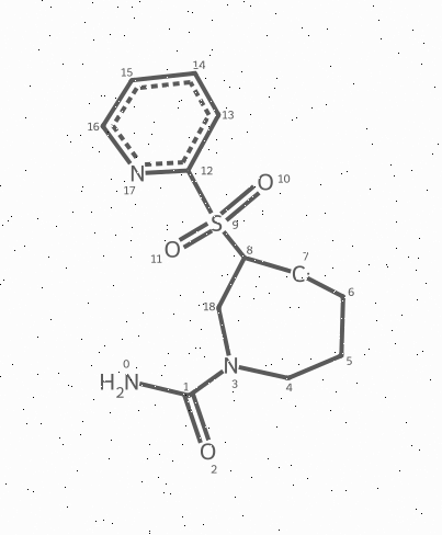 NC(=O)N1CCC[CH]C(S(=O)(=O)c2ccccn2)C1